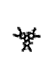 N#CC/C(C#N)=N\c1c(N)c2c(c3c1N=C(C#N)C(C#N)N3)N=C(C#N)C(C#N)N2